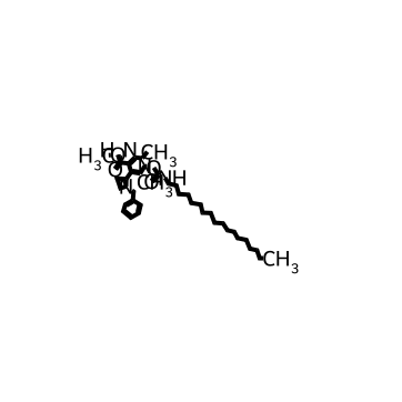 CCCCCCCCCCCCCCCCCCNC(=O)ON1C(C)=C(C2CCN2Cc2ccccc2)C(C(=O)OC)=C(N)C1C